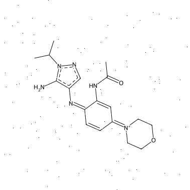 CC(=O)NC1=CC(=[N+]2CCOCC2)C=C/C1=N/c1cnn(C(C)C)c1N